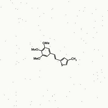 COc1cc(C=Cc2cc(C)cs2)cc(OC)c1OC